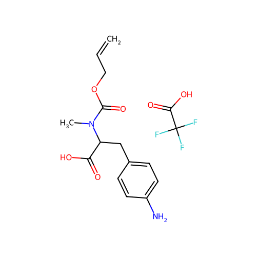 C=CCOC(=O)N(C)C(Cc1ccc(N)cc1)C(=O)O.O=C(O)C(F)(F)F